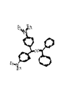 CCN(CC)c1ccc(C(=O)c2ccc(N(CC)CC)cc2)cc1.O=C(c1ccccc1)c1ccccc1